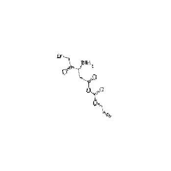 C=CCOC(=O)OC(=O)CC(N)C(=O)CBr